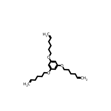 C=CCCCCOc1cc(OCCCCC=C)cc(OCCCCC=C)c1